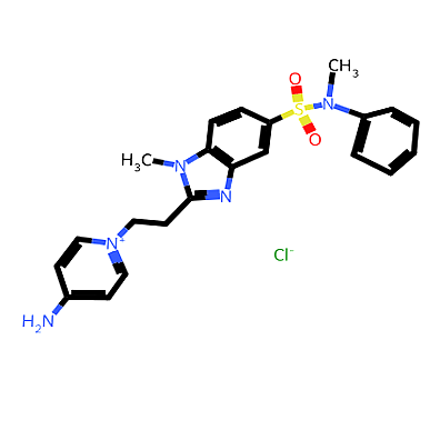 CN(c1ccccc1)S(=O)(=O)c1ccc2c(c1)nc(CC[n+]1ccc(N)cc1)n2C.[Cl-]